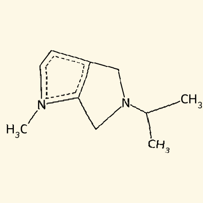 CC(C)N1Cc2ccn(C)c2C1